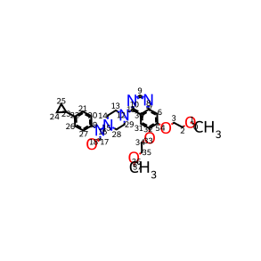 COCCOc1cc2ncnc(N3CCN(N(C=O)c4ccc(C5CC5)cc4)CC3)c2cc1OCCOC